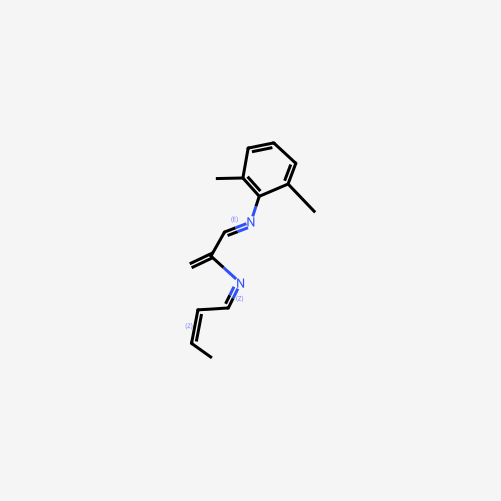 C=C(/C=N/c1c(C)cccc1C)/N=C\C=C/C